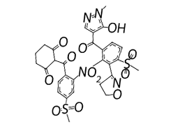 CS(=O)(=O)c1ccc(C(=O)C2C(=O)CCCC2=O)c([N+](=O)[O-])c1.Cc1c(C(=O)c2cnn(C)c2O)ccc(S(C)(=O)=O)c1C1=NOCC1